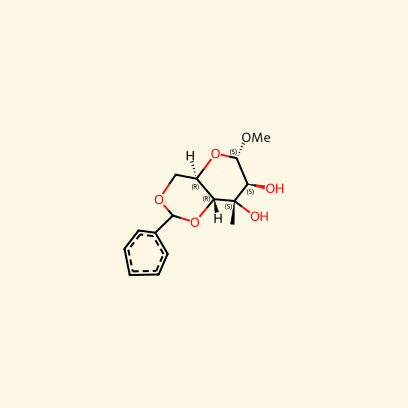 CO[C@H]1O[C@@H]2COC(c3ccccc3)O[C@H]2[C@@](C)(O)[C@@H]1O